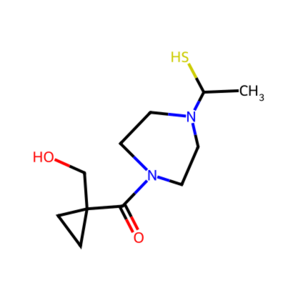 CC(S)N1CCN(C(=O)C2(CO)CC2)CC1